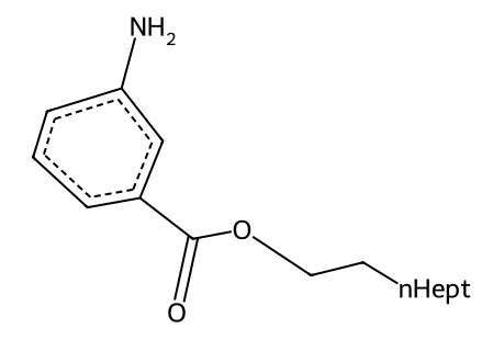 CCCCCCCCCOC(=O)c1cccc(N)c1